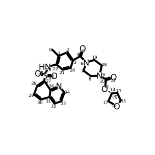 Cc1cc(C(=O)N2CCN(C(=O)O[C@@H]3CCOC3)CC2)ccc1NS(=O)(=O)c1cccc2cccnc12